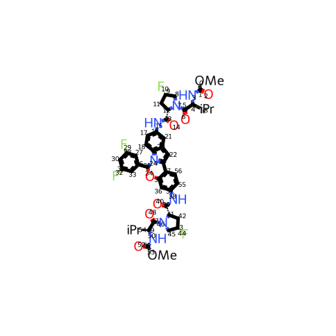 COC(=O)NC(C(=O)N1C[C@@H](F)C[C@H]1C(=O)Nc1ccc2c(c1)cc1n2C(c2cc(F)cc(F)c2)Oc2cc(NC(=O)[C@@H]3C[C@@H](F)CN3C(=O)[C@@H](NC(=O)OC)C(C)C)ccc2-1)C(C)C